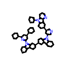 c1ccc(-c2cc(-c3ccccc3)nc(-n3c4ccccc4c4ccc(-c5ccc6c(c5)c5ccccc5n6-c5cncc(-c6ccc7c(c6)c6ncccc6n7-c6ccccc6)c5)cc43)c2)cc1